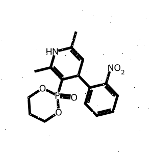 CC1=CC(c2ccccc2[N+](=O)[O-])C(P2(=O)OCCCO2)=C(C)N1